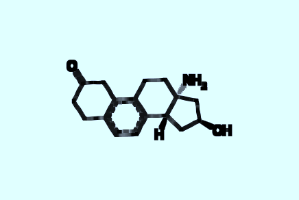 N[C@@]12CCc3c(ccc4c3CC(=O)CC4)[C@H]1C[C@H](O)C2